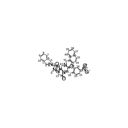 CN(C(=O)NCc1ccccc1)N1CC(=O)N2[C@@H](Cc3ccc([N+](=O)[O-])cc3)C(=O)N(Cc3cccc4ccccc34)C[C@@H]21